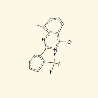 Cc1cccc2c(Cl)nc(-c3ccccc3C(F)(F)F)nc12